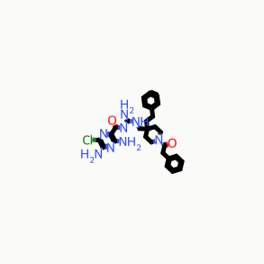 N/C(=N\C(=O)c1nc(Cl)c(N)nc1N)NCC1(CCc2cc#ccc2)CCN(C(=O)Cc2ccccc2)CC1